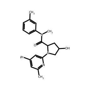 Cc1cccc(N(C)C(=O)C2CC(O)CN2c2cc(C(C)C)cc(C)n2)c1